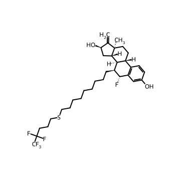 C=C1[C@H](O)C[C@H]2[C@@H]3[C@H](CCCCCCCCCSCCCC(F)(F)C(F)(F)F)[C@@H](F)c4cc(O)ccc4[C@H]3CC[C@]12C